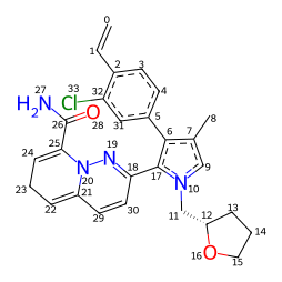 C=Cc1ccc(-c2c(C)cn(C[C@@H]3CCCO3)c2C2=NN3C(=CCC=C3C(N)=O)C=C2)cc1Cl